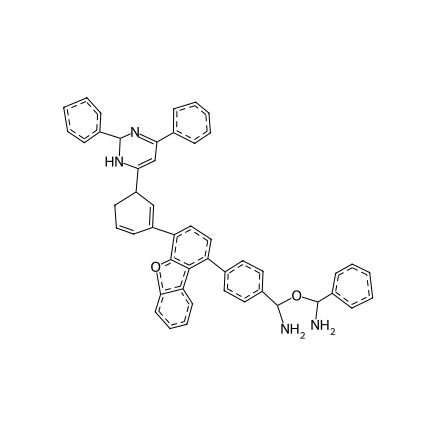 NC(OC(N)c1ccc(-c2ccc(C3=CC(C4=CC(c5ccccc5)=NC(c5ccccc5)N4)CC=C3)c3oc4ccccc4c23)cc1)c1ccccc1